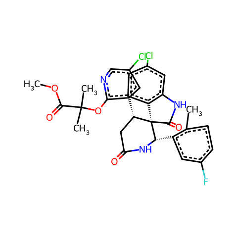 COC(=O)C(C)(C)Oc1ncc(Cl)cc1[C@H]1CC(=O)N[C@@H](c2cc(F)ccc2C)[C@]12C(=O)Nc1cc(Cl)ccc12